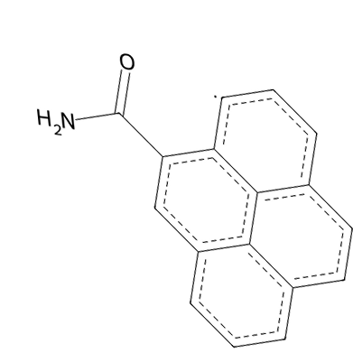 NC(=O)c1cc2cccc3ccc4cc[c]c1c4c32